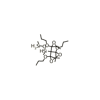 CCCOC1(C([SiH](C)O[SiH2]C)(C2(OCCC)OC2C)C2(OCCC)OC2C)OC1C